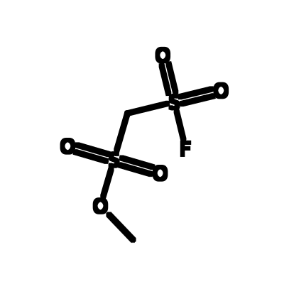 COS(=O)(=O)CS(=O)(=O)F